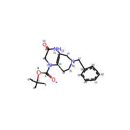 CC(C)(C)OC(=O)N1CC(=O)NC2=C1CCN(Cc1ccccc1)C2